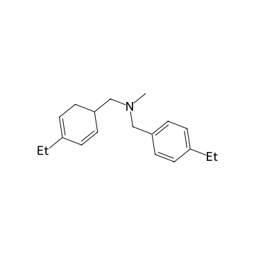 CCC1=CCC(CN(C)Cc2ccc(CC)cc2)C=C1